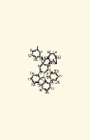 c1ccc(-n2c3cc4c(cc3c3ncccc32)C(c2ccccc2)(c2ccccc2)c2ccccc2-4)cc1